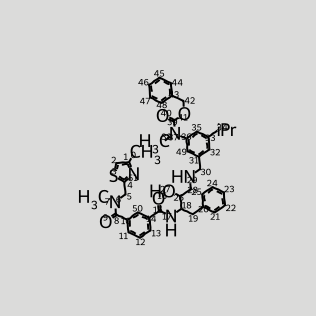 Cc1csc(CN(C)C(=O)c2cccc(C(=O)NC(Cc3ccccc3)C(O)CNCc3cc(C(C)C)cc(N(C)C(=O)OCc4ccccc4)c3)c2)n1